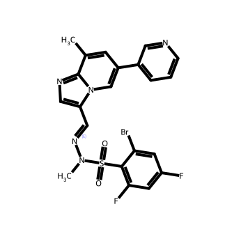 Cc1cc(-c2cccnc2)cn2c(/C=N/N(C)S(=O)(=O)c3c(F)cc(F)cc3Br)cnc12